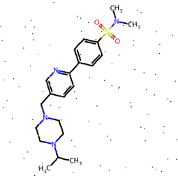 CC(C)N1CCN(Cc2ccc(-c3ccc(S(=O)(=O)N(C)C)cc3)nc2)CC1